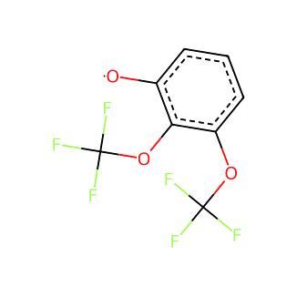 [O]c1cccc(OC(F)(F)F)c1OC(F)(F)F